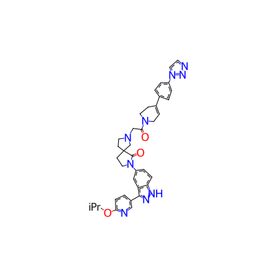 CC(C)Oc1ccc(-c2n[nH]c3ccc(N4CCC5(CCN(CC(=O)N6CC=C(c7ccc(-n8ccnn8)cc7)CC6)C5)C4=O)cc23)cn1